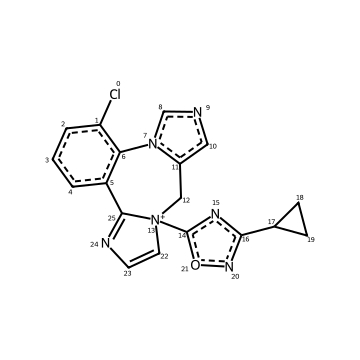 Clc1cccc2c1-n1cncc1C[N+]1(c3nc(C4CC4)no3)C=CN=C21